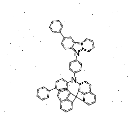 c1ccc(-c2ccc(N(c3ccc(-n4c5ccccc5c5cc(-c6ccccc6)ccc54)cc3)c3ccc4cccc5c4c3C53c4cccc5cccc3c45)cc2)cc1